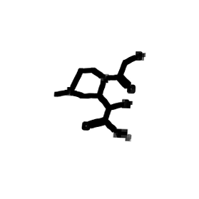 CN1CCN(C(=O)CBr)C(C(Br)C(N)=O)C1